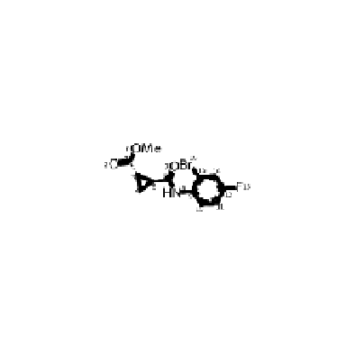 COC(=O)[C@H]1C[C@@H]1C(=O)Nc1ccc(F)cc1Br